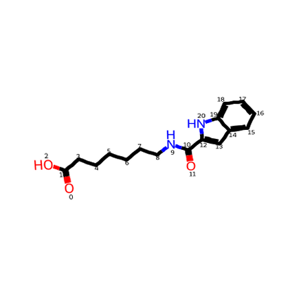 O=C(O)CCCCCCNC(=O)c1cc2ccccc2[nH]1